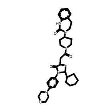 O=C(CC1SC(C2CCCCC2)N(c2ccc(N3CCOCC3)cc2)C1=O)N1CCC(N2CCc3ccccc3NC2=O)CC1